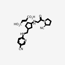 N#Cc1ccc(NCC2CCC(NCC(=O)N3CCC[C@H]3C#N)C2)nc1.O=C(O)/C=C/C(=O)O